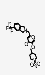 CS(=O)(=O)N1CCC(COc2coc(CN3Cc4ccc(C(F)(F)F)cc4C3)cc2=O)CC1